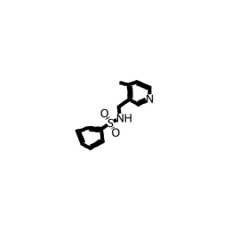 Cc1ccncc1CNS(=O)(=O)c1ccccc1